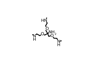 CNCCOCC(N)(COCCNC)COCCNC